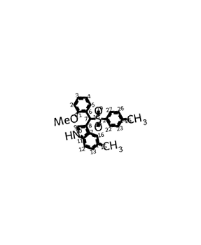 COc1ccccc1C(c1c[nH]c2ccc(C)cc12)S(=O)(=O)c1ccc(C)cc1